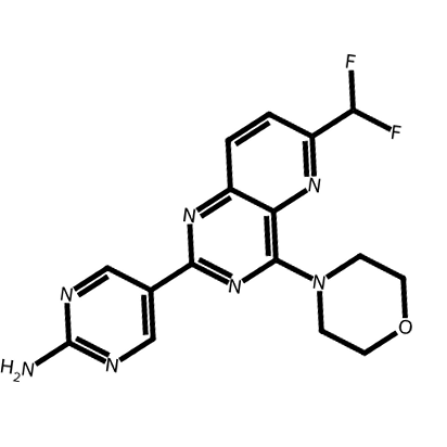 Nc1ncc(-c2nc(N3CCOCC3)c3nc(C(F)F)ccc3n2)cn1